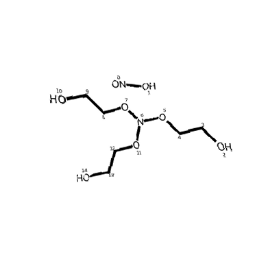 O=NO.OCCON(OCCO)OCCO